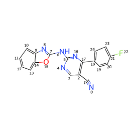 N#Cc1cnc(Nc2nc3ccccc3o2)nc1-c1ccc(F)cc1